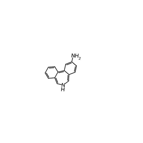 Nc1ccc2c(c1)=c1ccccc1=CNC=2